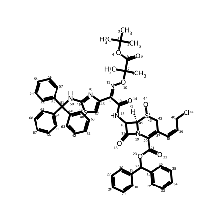 CC(C)(C)OC(=O)C(C)(C)O/N=C(\C(=O)NC1C(=O)N2C(C(=O)OC(c3ccccc3)c3ccccc3)=C(/C=C\CCl)C[S+]([O-])[C@H]12)c1csc(NC(c2ccccc2)(c2ccccc2)c2ccccc2)n1